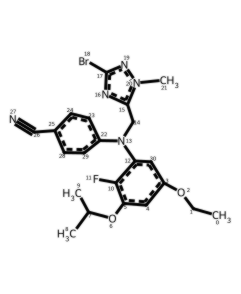 CCOc1cc(OC(C)C)c(F)c(N(Cc2nc(Br)nn2C)c2ccc(C#N)cc2)c1